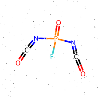 O=C=NP(=O)(F)N=C=O